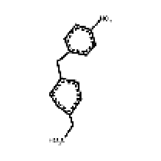 O=C(O)Cc1ccc(Cc2ccc([N+](=O)[O-])cc2)cc1